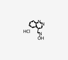 Cl.ON=Cc1cnnc2ccccc12